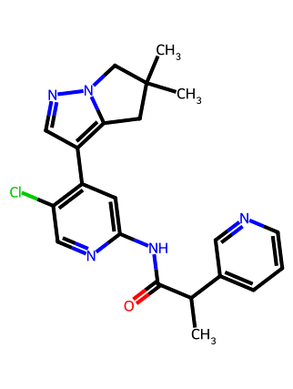 CC(C(=O)Nc1cc(-c2cnn3c2CC(C)(C)C3)c(Cl)cn1)c1cccnc1